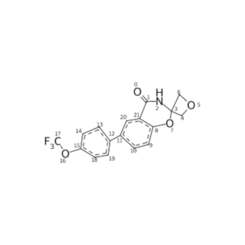 O=C1NC2(COC2)Oc2ccc(-c3ccc(OC(F)(F)F)cc3)cc21